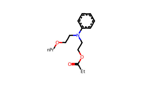 CCCOCCN(CCOC(=O)CC)c1ccccc1